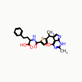 Cc1nc(O)c2c(C(C)c3ccc(C(=O)NC(CCc4ccccc4)C(=O)O)s3)cnc-2[nH]1